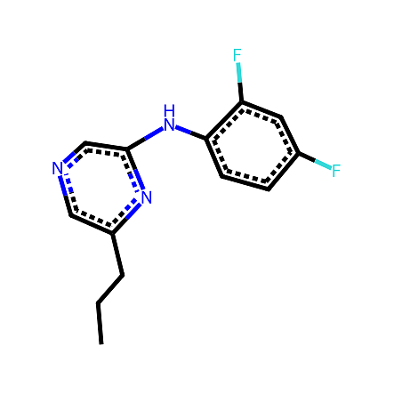 CCCc1cncc(Nc2ccc(F)cc2F)n1